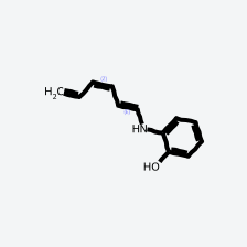 C=C/C=C\C=C\Nc1ccccc1O